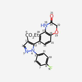 CCOC(=O)c1cnn(-c2ccc(F)cc2)c1-c1ccc2c(c1)NC(=O)CO2